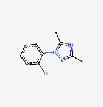 Cc1nc(C)n(-c2ccccc2Cl)n1